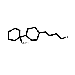 CCCCCC1(C2CCC(CCCCBr)CC2)CCCCC1